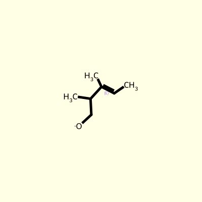 C/C=C(\C)C(C)C[O]